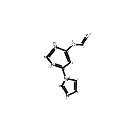 S=COc1cc(-n2ccnc2)ncn1